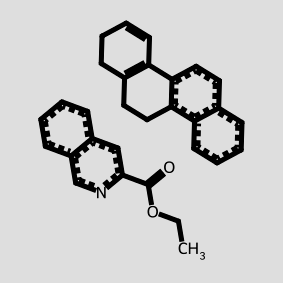 C1=CC2=C(CC1)CCc1c2ccc2ccccc12.CCOC(=O)c1cc2ccccc2cn1